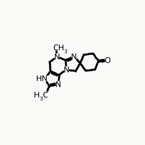 Cc1nc2c([nH]1)CN(C)C1=NC3(CCC(=O)CC3)CN12